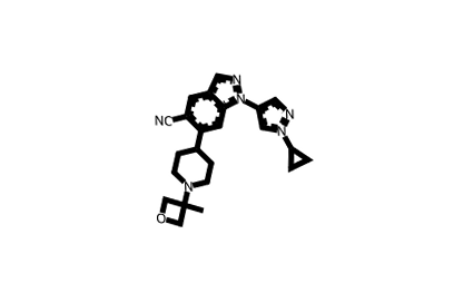 CC1(N2CCC(c3cc4c(cnn4-c4cnn(C5CC5)c4)cc3C#N)CC2)COC1